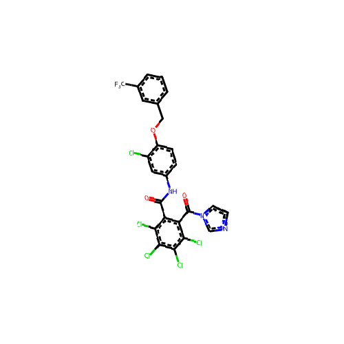 O=C(Nc1ccc(OCc2cccc(C(F)(F)F)c2)c(Cl)c1)c1c(Cl)c(Cl)c(Cl)c(Cl)c1C(=O)n1ccnc1